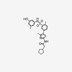 Cc1cc(O)cc(NS(=O)(=O)c2cc(-c3sc(NC(=O)CC4CCCC4)nc3C)ccc2C)c1